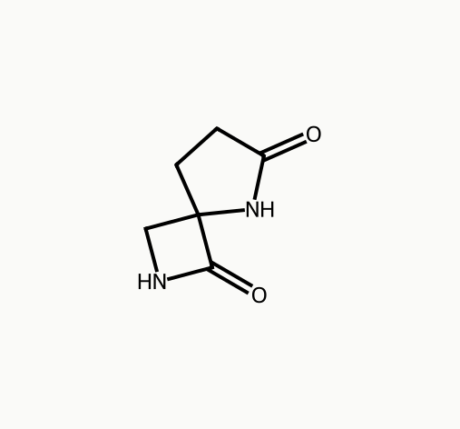 O=C1CCC2(CNC2=O)N1